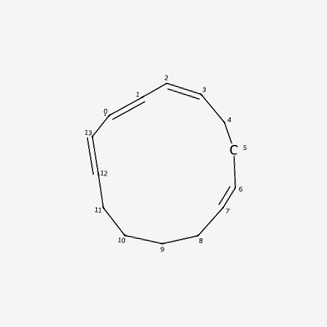 [C]1=CC=CCCC=CCCCCC=C1